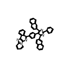 c1ccc(-c2nc(-c3ccc4ccccc4c3)c(-c3ccc(-c4nc5c(nc6ccccn65)c5ccccc45)cc3)c(-c3ccc4ccccc4c3)n2)cc1